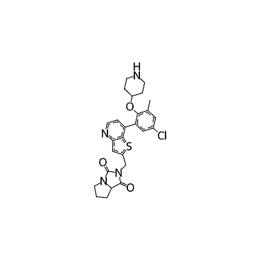 Cc1cc(Cl)cc(-c2ccnc3cc(CN4C(=O)C5CCCN5C4=O)sc23)c1OC1CCNCC1